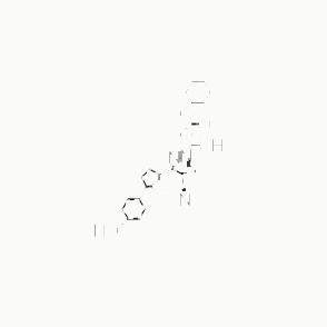 Cc1ccc(-c2ccc(-c3nn(C(C)OC(=O)OC4CCCCC4)nc3C#N)o2)cc1